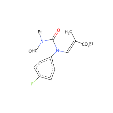 CCOC(=O)/C(C)=C/N(C(=O)N(C=O)CC)c1ccc(F)cc1